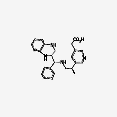 C[C@@H](CN[C@H](c1ccccc1)[C@H]1CNc2cccnc2N1)c1cncc(CC(=O)O)c1